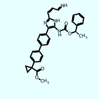 COC(=O)C1(c2ccc(-c3ccc(-c4nc(/C=C\C=N)[nH]c4NC(=O)O[C@H](C)c4ccccc4)cc3)cc2)CC1